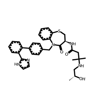 C[C@@H](O)CNC(C)(C)CC(=O)N[C@@H]1CSc2ccccc2N(Cc2ccc(-c3ccccc3-c3ncc[nH]3)cc2)C1=O